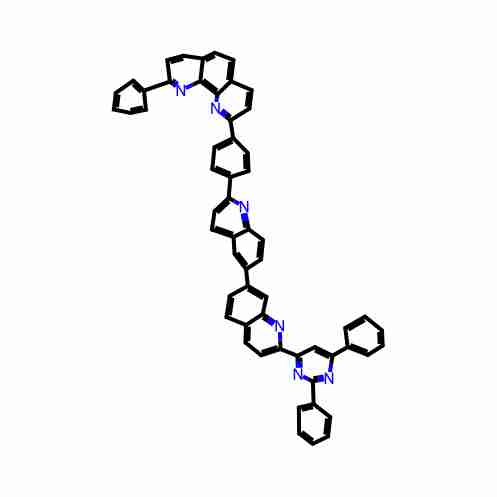 c1ccc(-c2cc(-c3ccc4ccc(-c5ccc6nc(-c7ccc(-c8ccc9ccc%10ccc(-c%11ccccc%11)nc%10c9n8)cc7)ccc6c5)cc4n3)nc(-c3ccccc3)n2)cc1